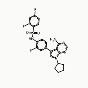 Nc1ncnc2c1c(-c1ccc(NS(=O)(=O)c3ccc(F)cc3F)c(F)c1)cn2C1CCCC1